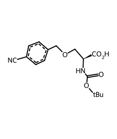 CC(C)(C)OC(=O)N[C@@H](COCc1ccc(C#N)cc1)C(=O)O